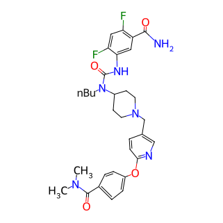 CCCCN(C(=O)Nc1cc(C(N)=O)c(F)cc1F)C1CCN(Cc2ccc(Oc3ccc(C(=O)N(C)C)cc3)nc2)CC1